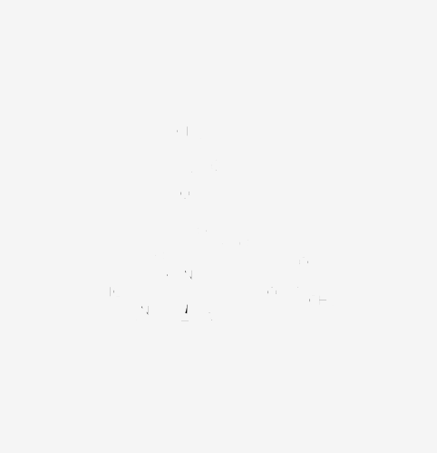 CCC(=O)OCOC(=O)C1=C(COC(C)=O)CS[C@@H]2[C@H](N)C(=O)N12.Cl